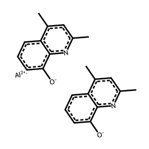 Cc1cc(C)c2cccc([O-])c2n1.Cc1cc(C)c2cccc([O-])c2n1.[Al+2]